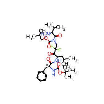 CC(C)COC(=O)N(CC(F)(F)C(=O)C(CC(C)C)NC(=O)[C@H](Cc1ccccc1)NC(=O)OC(C)(C)C)C(=O)[C@@H](N)C(C)C